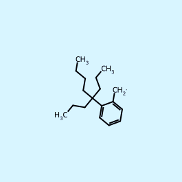 [CH2]c1ccccc1C(CCC)(CCC)CCCC